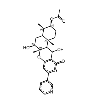 CC(=O)O[C@H]1CC[C@@]2(C)C(C[C@H](O)[C@@]3(C)Oc4cc(-c5cccnc5)oc(=O)c4C(O)C23)[C@H]1C